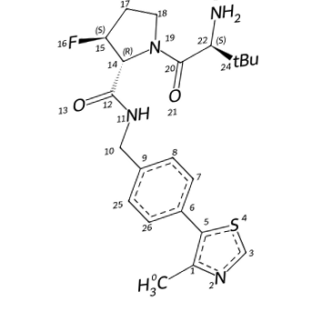 Cc1ncsc1-c1ccc(CNC(=O)[C@@H]2[C@@H](F)CCN2C(=O)[C@@H](N)C(C)(C)C)cc1